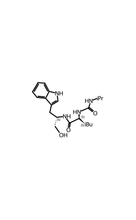 CC[C@H](C)[C@H](NC(=O)NC(C)C)C(=O)N[C@H](CO)Cc1c[nH]c2ccccc12